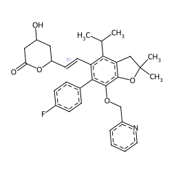 CC(C)c1c(/C=C/C2CC(O)CC(=O)O2)c(-c2ccc(F)cc2)c(OCc2ccccn2)c2c1CC(C)(C)O2